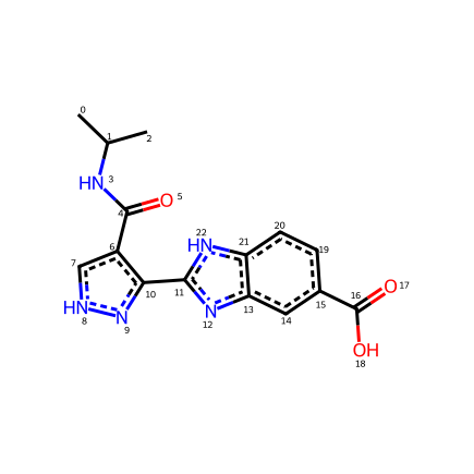 CC(C)NC(=O)c1c[nH]nc1-c1nc2cc(C(=O)O)ccc2[nH]1